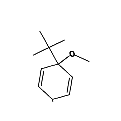 COC1(C(C)(C)C)C=C[CH]C=C1